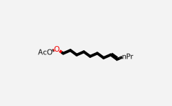 CCCC=CCCCCCCCOOC(C)=O